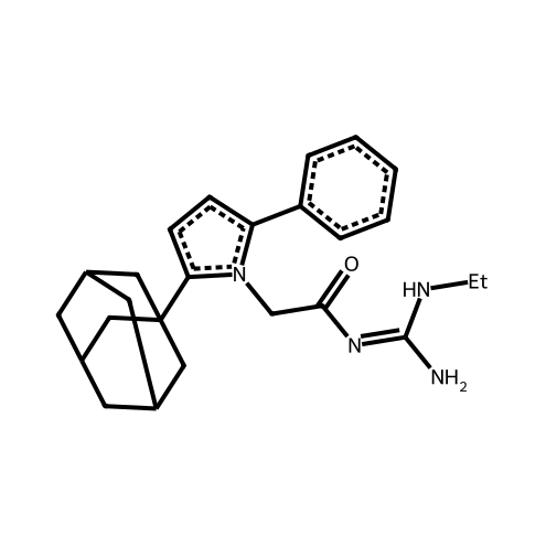 CCN/C(N)=N\C(=O)Cn1c(-c2ccccc2)ccc1C12CC3CC(CC(C3)C1)C2